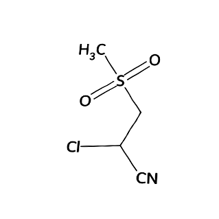 CS(=O)(=O)CC(Cl)C#N